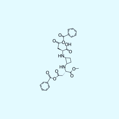 COC(=O)[C@H](CC(=O)OC(=O)c1ccccc1)NC1CCC1N[C@@H](CC(=O)OC(=O)c1ccccc1)C(=O)O